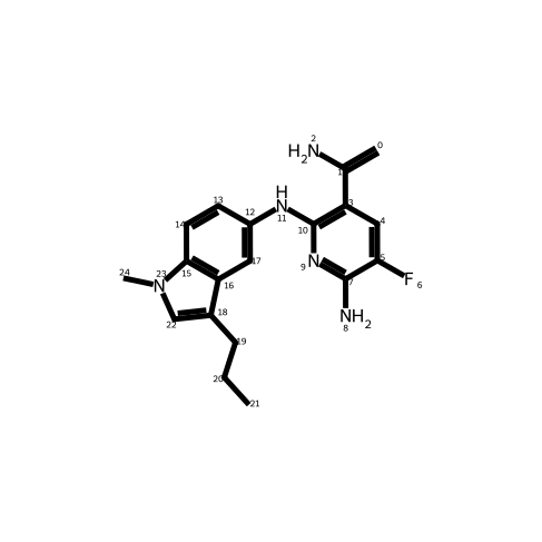 C=C(N)c1cc(F)c(N)nc1Nc1ccc2c(c1)c(CCC)cn2C